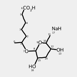 CC(CCCCC(=O)O)OC1OC(C)C(O)CC1O.[NaH]